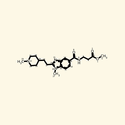 COC(=O)CCNC(=O)c1ccc2c(c1)nc(CCC1CCN(C)CC1)n2C